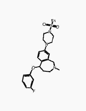 CCS(=O)(=O)N1CCN(c2ccc3c(c2)CN(C)CCC3Oc2cccc(F)c2)CC1